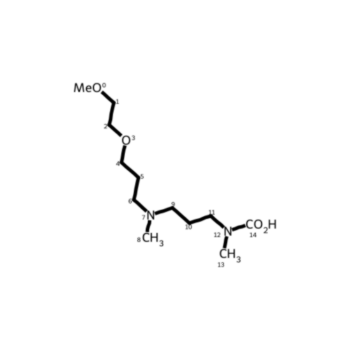 COCCOCCCN(C)CCCN(C)C(=O)O